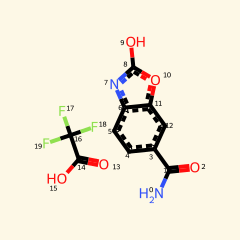 NC(=O)c1ccc2nc(O)oc2c1.O=C(O)C(F)(F)F